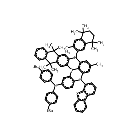 Cc1cc2c3c(c1)N(c1cccc4c1sc1ccccc14)c1ccc(N(c4ccc(C(C)(C)C)cc4)c4ccc(C(C)(C)C)cc4)cc1B3c1cc3c(cc1N2c1cc2c(cc1C)C(C)(C)CCC2(C)C)C(C)(C)c1ccccc1C3(C)C